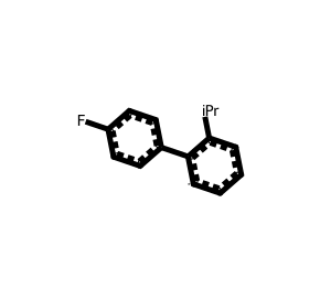 CC(C)c1ccc[c]c1-c1ccc(F)cc1